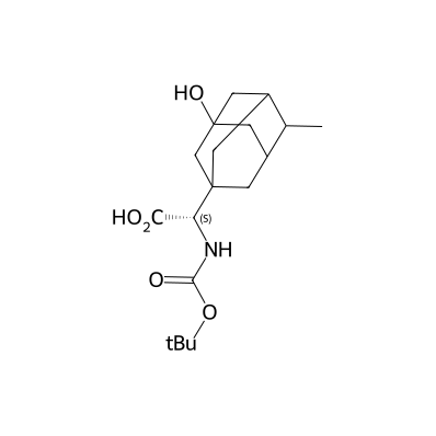 CC1C2CC3(O)CC1CC([C@H](NC(=O)OC(C)(C)C)C(=O)O)(C2)C3